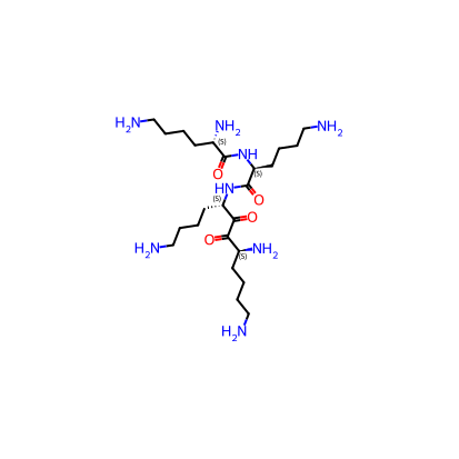 NCCCC[C@H](NC(=O)[C@@H](N)CCCCN)C(=O)N[C@@H](CCCCN)C(=O)C(=O)[C@@H](N)CCCCN